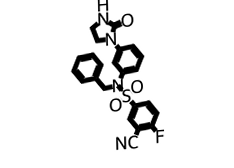 N#Cc1cc(S(=O)(=O)N(Cc2ccccc2)c2cccc(N3CCNC3=O)c2)ccc1F